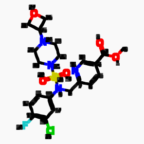 COC(=O)c1ccc(CN(c2ccc(F)c(Cl)c2)S(=O)(=O)N2CCN(C3COC3)CC2)nc1